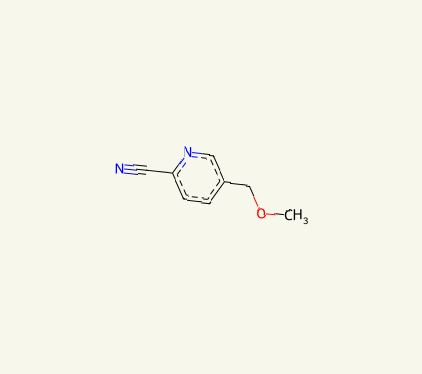 COCc1ccc(C#N)nc1